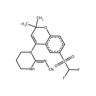 CC1(C)C=C(N2CCCNC2=NC#N)c2cc(S(=O)(=O)C(F)F)ccc2O1